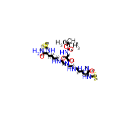 CC(C)(C)OC(=O)NCCC(=O)N(CCNCCCC[C@H](NC1SS1)C(N)=O)CC(=O)NCCCC[C@H](NC1SS1)C(N)=O